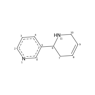 [c]1ncccc1C1CC=CCN1